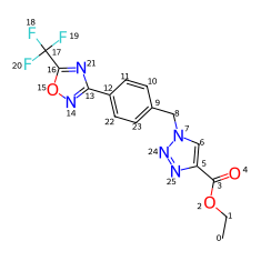 CCOC(=O)c1cn(Cc2ccc(-c3noc(C(F)(F)F)n3)cc2)nn1